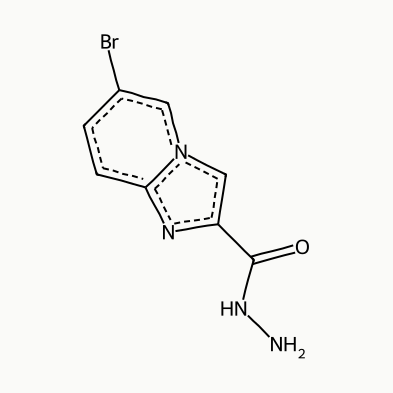 NNC(=O)c1cn2cc(Br)ccc2n1